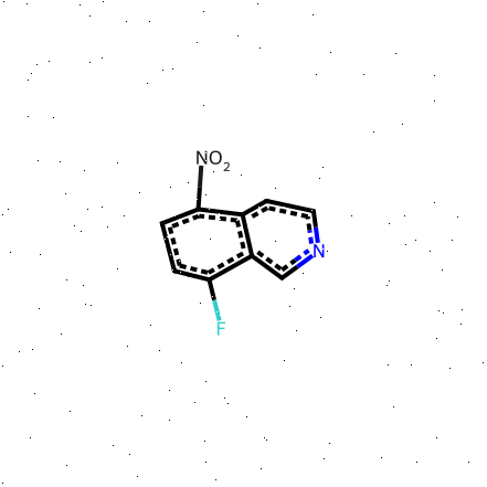 O=[N+]([O-])c1ccc(F)c2cnccc12